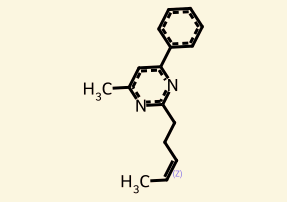 C/C=C\CCc1nc(C)cc(-c2ccccc2)n1